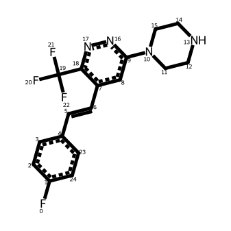 Fc1ccc(/C=C/c2cc(N3CCNCC3)nnc2C(F)(F)F)cc1